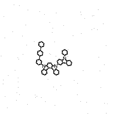 c1ccc(-c2ccc(-c3cccc(-n4c5ccccc5c5c6c7ccccc7n(-c7ccc8c(c7)c7ccccc7n8-c7ccccc7)c6ccc54)c3)cc2)cc1